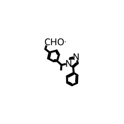 CC(c1ccc(C[C]=O)cc1)n1cncc1-c1ccccc1